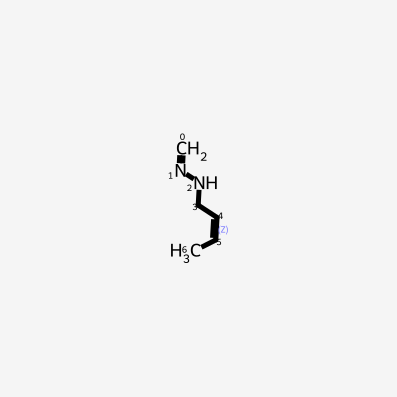 C=NNC/C=C\C